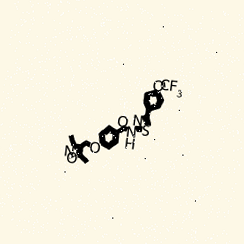 Cc1noc(C)c1COc1ccc(C(=O)Nc2nc(-c3ccc(OC(F)(F)F)cc3)cs2)cc1